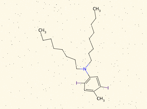 CCCCCCCCN(CCCCCCCC)c1cc(I)c(C)cc1I